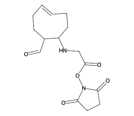 O=CC1CC/C=C/CCC1NCC(=O)ON1C(=O)CCC1=O